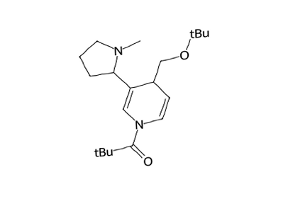 CN1CCCC1C1=CN(C(=O)C(C)(C)C)C=CC1COC(C)(C)C